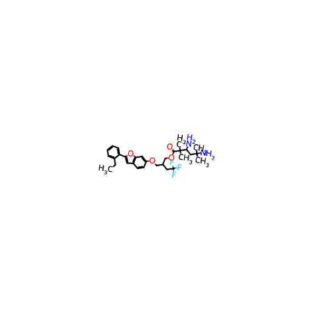 CCc1ccccc1-c1cc2ccc(OCC(COC(=O)C(C)(C)C(N)CC(C)(C)N)CC(F)(F)F)cc2o1